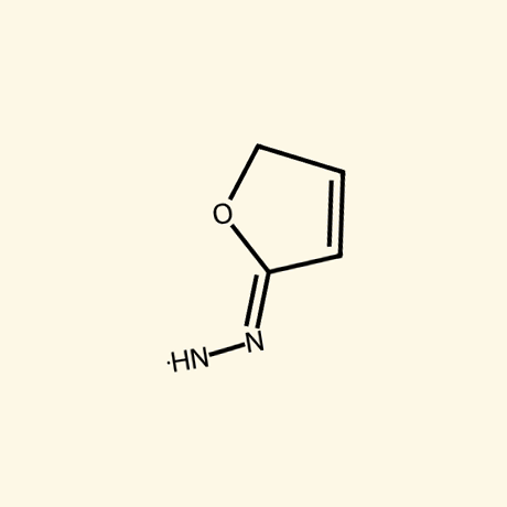 [NH]N=C1C=CCO1